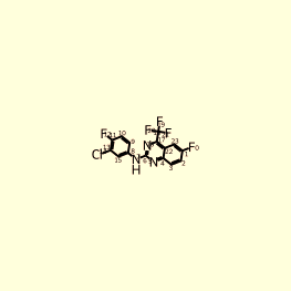 Fc1ccc2nc(Nc3ccc(F)c(Cl)c3)nc(C(F)(F)F)c2c1